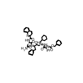 CC(C)[C@H](NC(=O)OCc1ccccc1)C(=O)NN(CC1CCCCC1)CC(O)C(Cc1ccccc1)NC(=O)[C@H](CC(N)=O)NC(=O)c1ccc2ccccc2n1